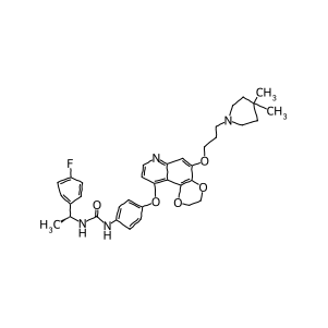 C[C@H](NC(=O)Nc1ccc(Oc2ccnc3cc(OCCCN4CCC(C)(C)CC4)c4c(c23)OCCO4)cc1)c1ccc(F)cc1